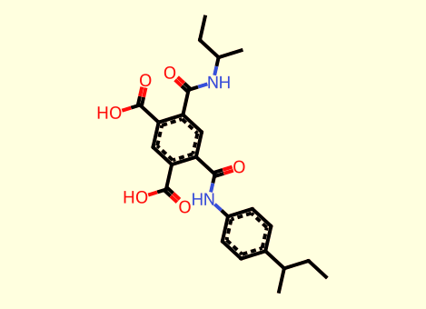 CCC(C)NC(=O)c1cc(C(=O)Nc2ccc(C(C)CC)cc2)c(C(=O)O)cc1C(=O)O